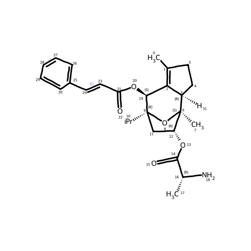 CC1=C2[C@@H](CC1)[C@]1(C)O[C@@](C(C)C)(C[C@H]1OC(=O)[C@@H](C)N)[C@H]2OC(=O)/C=C/c1ccccc1